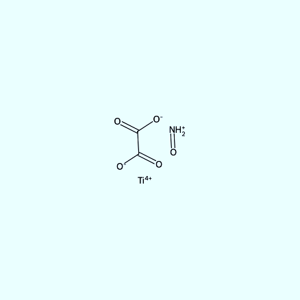 O=C([O-])C(=O)[O-].[NH2+]=O.[Ti+4]